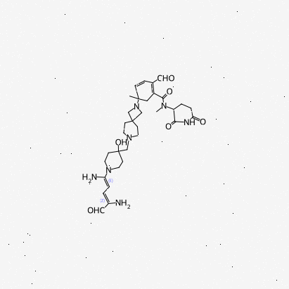 CN(C(=O)C1=C(C=O)C=CC(C)(N2CC3(CCN(CC4(O)CCN(/C(N)=C/C=C(\N)C=O)CC4)CC3)C2)C1)C1CCC(=O)NC1=O